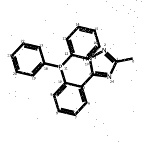 Cc1n[nH]c(-c2ccccc2P(c2ccccc2)c2ccccc2)n1